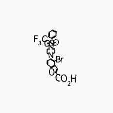 O=C(O)c1cc2c(Br)c(N3CCN(S(=O)(=O)c4ccccc4C(F)(F)F)CC3)ccc2o1